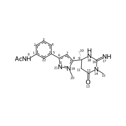 CC(=O)Nc1cccc(-c2cc([C@]3(C)CC(=O)N(C)C(=N)N3)n(C)n2)c1